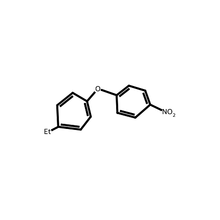 CCc1ccc(Oc2ccc([N+](=O)[O-])cc2)cc1